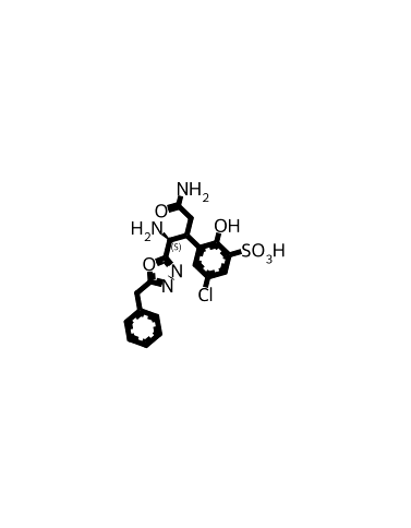 NC(=O)CC(c1cc(Cl)cc(S(=O)(=O)O)c1O)[C@H](N)c1nnc(Cc2ccccc2)o1